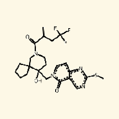 CSc1ncc2c(=O)n(CC3(O)CCN(C(=O)C(C)CC(F)(F)F)CC34CCCC4)ccc2n1